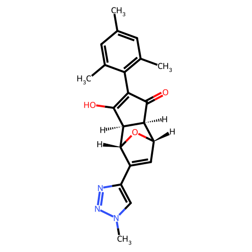 Cc1cc(C)c(C2=C(O)[C@H]3[C@@H](C2=O)[C@@H]2C=C(c4cn(C)nn4)[C@H]3O2)c(C)c1